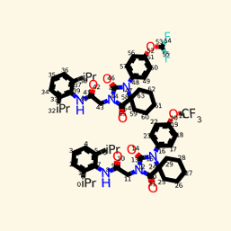 CC(C)c1cccc(C(C)C)c1NC(=O)CN1C(=O)N(c2ccc(OC(F)(F)F)cc2)C2(CCCCC2)C1=O.CC(C)c1cccc(C(C)C)c1NC(=O)CN1C(=O)N(c2ccc(OC(F)F)cc2)C2(CCCCC2)C1=O